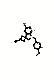 COc1ccc(CN2CC3(CC(C#N)C3)c3cc(Cl)cnc32)cc1